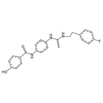 O=C(Nc1ccc(NC(=S)NCCc2ccc(F)cc2)cc1)c1ccc(O)cc1